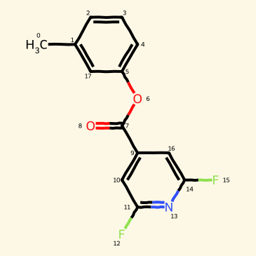 Cc1cccc(OC(=O)c2cc(F)nc(F)c2)c1